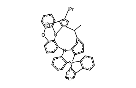 CC(C)c1cc(C(C)C)c2c(c1)C(C)c1ccc3c(c1)N(c1ccccc1[Si]31c3ccccc3-c3ccccc31)c1cccc3c1B2c1ccccc1O3